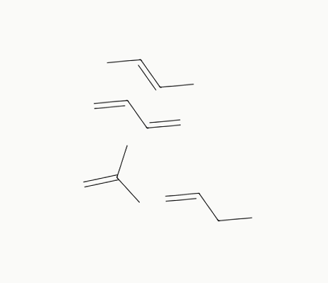 C=C(C)C.C=CC=C.C=CCC.CC=CC